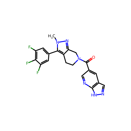 Cn1nc2c(c1-c1cc(F)c(F)c(F)c1)CCN(C(=O)c1cnc3[nH]ncc3c1)C2